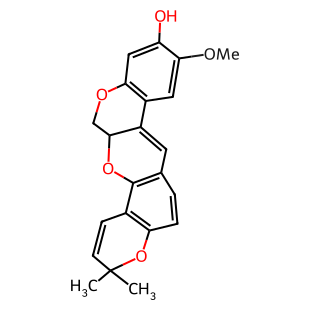 COc1cc2c(cc1O)OCC1Oc3c(ccc4c3C=CC(C)(C)O4)C=C21